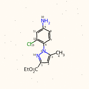 CCOC(=O)c1cc(C)n(-c2ccc(N)cc2Cl)n1